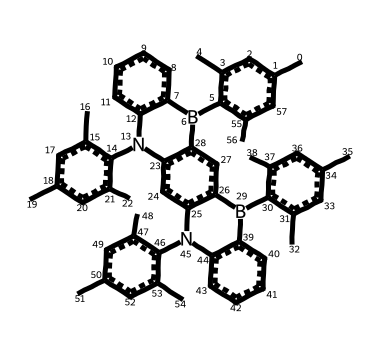 Cc1cc(C)c(B2c3ccccc3N(c3c(C)cc(C)cc3C)c3cc4c(cc32)B(c2c(C)cc(C)cc2C)c2ccccc2N4c2c(C)cc(C)cc2C)c(C)c1